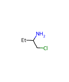 CCC(N)CCl